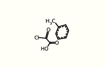 Cc1ccccc1.O=C(O)C(=O)Cl